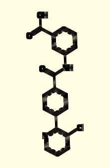 O=C(O)c1cccc(NC(=O)c2ccc(-c3ncccc3Cl)cc2)c1